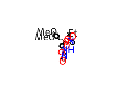 CCC(C)(C)C(=O)C(=O)N1CCCC[C@H]1C(=O)O[C@H](CCc1ccc(OC)c(OC)c1)c1cccc(NC(=O)CN2CCOCC2)c1